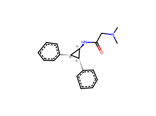 CN(C)CC(=O)N[C@@H]1[C@@H](c2ccccc2)[C@H]1c1ccccc1